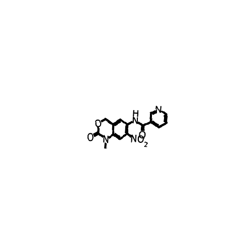 CN1C(=O)OCc2cc(NC(=O)c3cccnc3)c([N+](=O)[O-])cc21